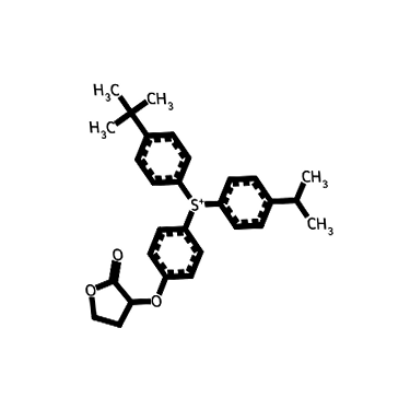 CC(C)c1ccc([S+](c2ccc(OC3CCOC3=O)cc2)c2ccc(C(C)(C)C)cc2)cc1